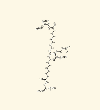 CCCCCCCCC(CCCCCC)COC(=O)CCCCCCCCC(CCCCCCCCC(=O)OCC(CCCCCC)CCCCCCC)N(CCCN(C)C)C(=O)CCCCCCC